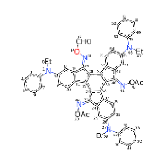 CCN(c1ccccc1)c1ccc2c(c1)/c(=N\OC=O)c1c2c2/c(=N/OC(C)=O)c3cc(N(CC)c4ccccc4)ccc3c2c2/c(=N/OC(C)=O)c3cc(N(CC)c4ccccc4)ccc3c12